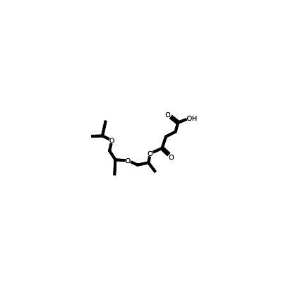 CC(C)OCC(C)OCC(C)OC(=O)CCC(=O)O